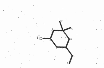 CCC1CC(O)CC(C)(C)C1